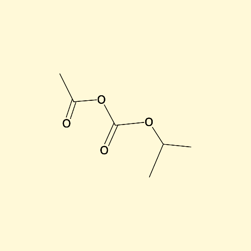 CC(=O)OC(=O)OC(C)C